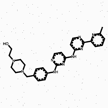 Cc1cccc(-c2nccc(Nc3ccnc(Nc4ccc(CN5CCN(CCO)CC5)cc4)n3)n2)n1